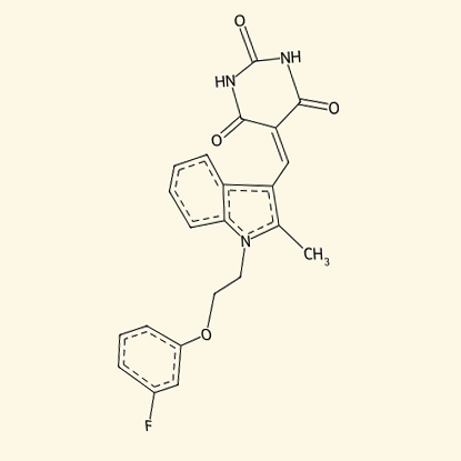 Cc1c(C=C2C(=O)NC(=O)NC2=O)c2ccccc2n1CCOc1cccc(F)c1